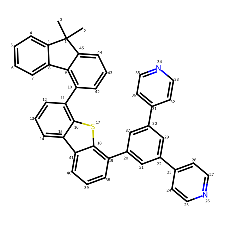 CC1(C)c2ccccc2-c2c(-c3cccc4c3sc3c(-c5cc(-c6ccncc6)cc(-c6ccncc6)c5)cccc34)cccc21